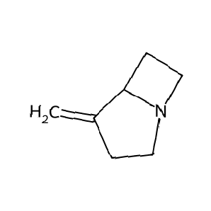 C=C1CCN2CCC12